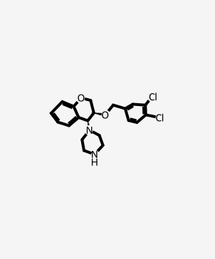 Clc1ccc(CO[C@@H]2COc3ccccc3[C@H]2N2CCNCC2)cc1Cl